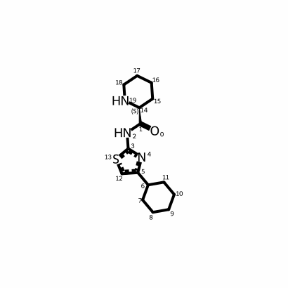 O=C(Nc1nc(C2CCCCC2)cs1)[C@@H]1CCCCN1